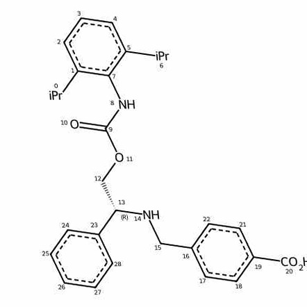 CC(C)c1cccc(C(C)C)c1NC(=O)OC[C@H](NCc1ccc(C(=O)O)cc1)c1ccccc1